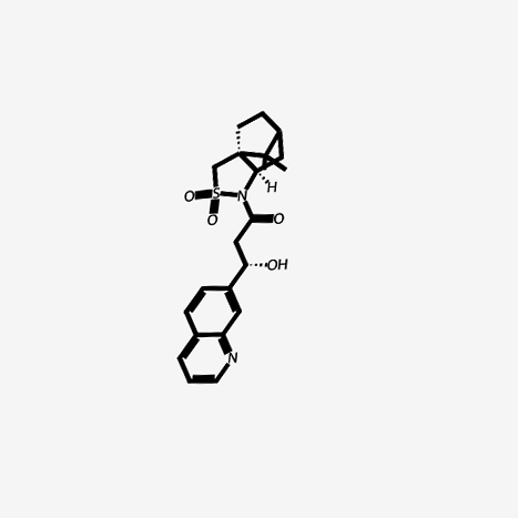 CC1(C)C2CC[C@]13CS(=O)(=O)N(C(=O)C[C@H](O)c1ccc4cccnc4c1)[C@@H]3C2